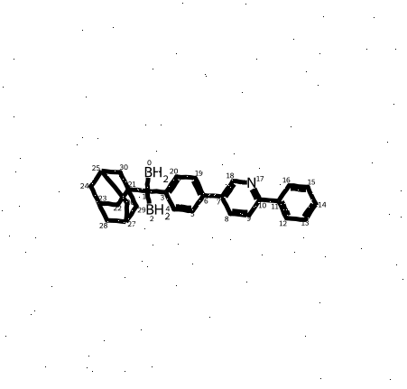 BC(B)(c1ccc(-c2ccc(-c3ccccc3)nc2)cc1)C12CC3CC(CC(C3)C1)C2